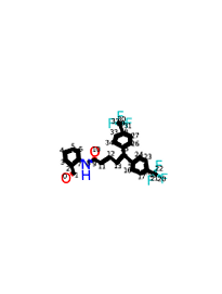 O=Cc1ccccc1NC(=O)C=CC=C(c1ccc(C(F)(F)F)cc1)c1ccc(C(F)(F)F)cc1